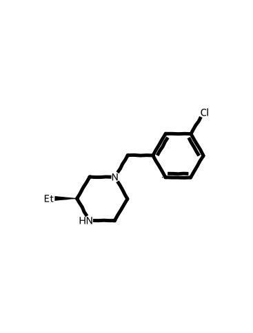 CC[C@H]1CN(Cc2[c]ccc(Cl)c2)CCN1